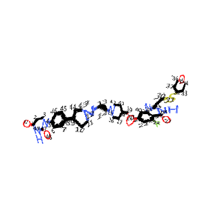 O=C1CCN(c2ccc(C3CCN(CCN4CCC(COc5cc(F)c6c(=O)[nH]c(CSC7CCOCC7)nc6c5)CC4)CC3)cc2)C(=O)N1